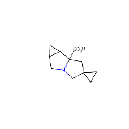 O=C(O)C12CC3(CC3)CN1CC1CC12